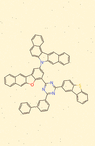 c1ccc(-c2cccc(-c3nc(-c4ccc5sc6ccccc6c5c4)nc(-c4cc(-n5c6cc7ccccc7cc6c6c7ccccc7ccc65)cc5c4oc4cc6ccccc6cc45)n3)c2)cc1